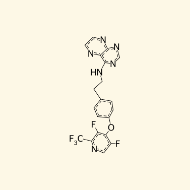 Fc1cnc(C(F)(F)F)c(F)c1Oc1ccc(CCNc2ncnc3nccnc23)cc1